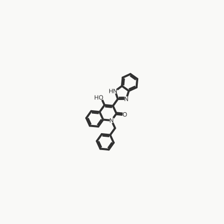 O=c1c(-c2nc3ccccc3[nH]2)c(O)c2ccccc2n1Cc1ccccc1